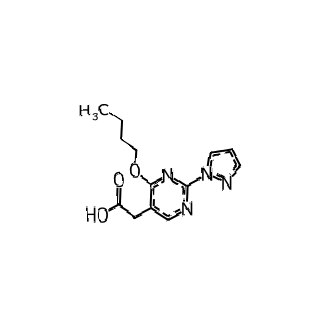 CCCCOc1nc(-n2cccn2)ncc1CC(=O)O